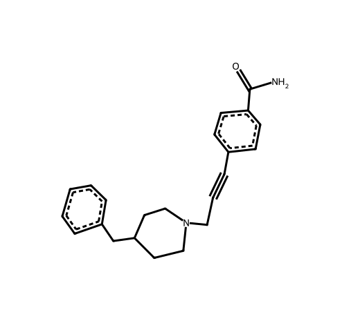 NC(=O)c1ccc(C#CCN2CCC(Cc3ccccc3)CC2)cc1